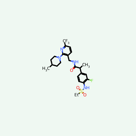 CCS(=O)(=O)Nc1ccc(C(C)C(=O)NCc2ccc(C(F)(F)F)nc2N2CCC(C)CC2)cc1F